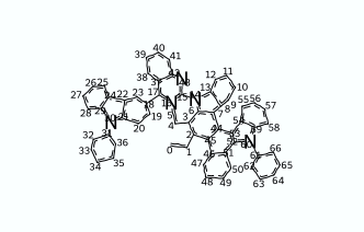 C=Cc1c(C=C)c2c(c3ccccc3n2-c2nc(-c3ccc4c(c3)c3ccccc3n4-c3ccccc3)c3ccccc3n2)c2c1c1ccccc1c1c2c2ccccc2n1-c1ccccc1